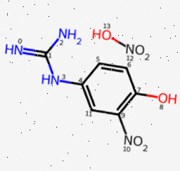 N=C(N)Nc1ccc(O)c([N+](=O)[O-])c1.O=[N+]([O-])O